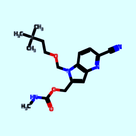 CNC(=O)OCc1cc2nc(C#N)ccc2n1COCC[Si](C)(C)C